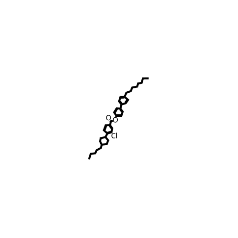 CCCCCCCCc1ccc(-c2ccc(OC(=O)c3ccc(C4CCC(CCCCC)CC4)c(Cl)c3)cc2)cc1